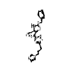 O=C(O)CC(NC(=O)OCc1ccccc1)C(=O)Cn1nnc(CCCn2ccnc2)n1